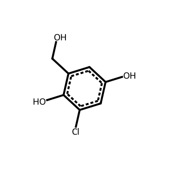 OCc1cc(O)cc(Cl)c1O